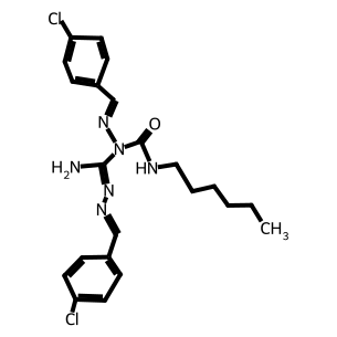 CCCCCCNC(=O)N(/N=C/c1ccc(Cl)cc1)/C(N)=N/N=C/c1ccc(Cl)cc1